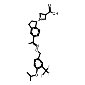 C/C(=N\OCc1ccc(OC(C)C)c(C(F)(F)F)c1)c1ccc2c(c1)CC[C@@H]2N1CC(C(=O)O)C1